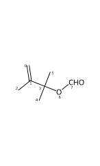 C=C(C)C(C)(C)OC=O